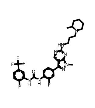 CC1CCCCN1CCCNc1ncc2c(-c3ccc(NC(=O)Nc4cc(C(F)(F)F)ccc4F)c(F)c3)nn(C)c2n1